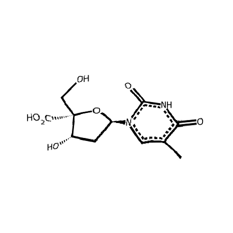 Cc1cn([C@H]2C[C@H](O)[C@](CO)(C(=O)O)O2)c(=O)[nH]c1=O